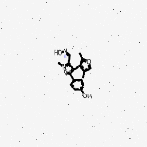 Cc1coc(C)c1-c1c(-c2ccc(O)cc2)nn(C)c1/C=N\O